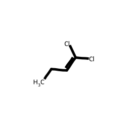 CCC=C(Cl)Cl